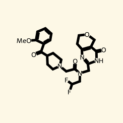 COc1ccccc1C(=O)C1CCN(CC(=O)N(Cc2nc3c(c(=O)[nH]2)COCC3)CC(F)F)CC1